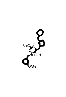 COc1cccc(CNC[C@@H](O)[C@H](Cc2cccc(CC3CCCCC3)c2)NC(=O)OC(C)(C)C)c1